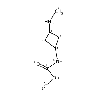 CNC1CC(NC(=O)OC)C1